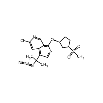 CC(C)(N=[N+]=[N-])c1cnc(O[C@H]2CC[C@@H](S(C)(=O)=O)C2)c2cnc(Cl)cc12